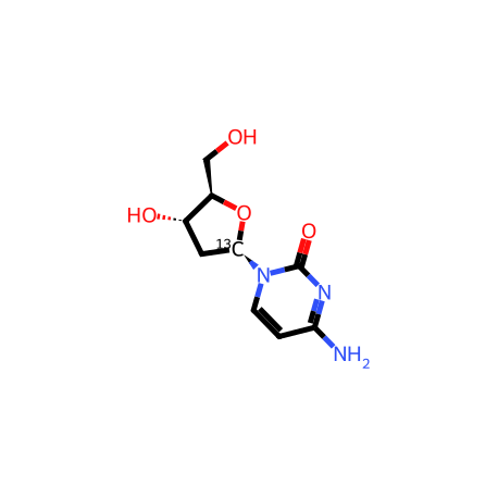 Nc1ccn([13C@H]2C[C@H](O)[C@@H](CO)O2)c(=O)n1